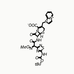 CO/N=C(\C(=O)N[C@@H]1C(=O)N2C(C(=O)[O-])=C(Cn3cc[n+]4ccccc34)CS[C@H]12)c1nsc(NC(=O)OC(C)(C)C)n1